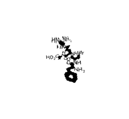 CC(C)CC(NC(=O)C(N)Cc1ccccc1)C(=O)NC(CCCNC(=N)N)C(=O)NC(C)C(=O)O